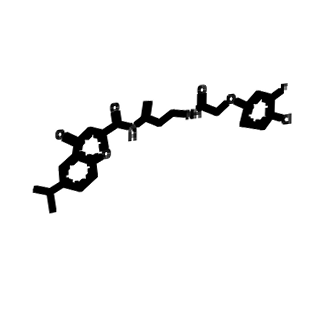 C=C(CCNC(=O)COc1ccc(Cl)c(F)c1)NC(=O)c1cc(=O)c2cc(C(C)C)ccc2o1